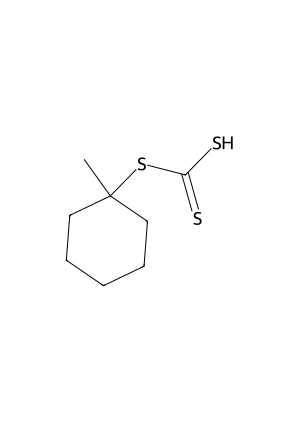 CC1(SC(=S)S)CCCCC1